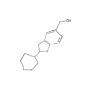 OCc1ccc2c(c1)CC(C1CCCCC1)O2